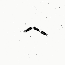 N=S=C=O